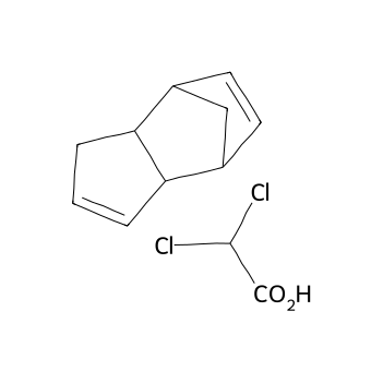 C1=CC2C3C=CC(C3)C2C1.O=C(O)C(Cl)Cl